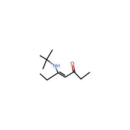 CCC(=O)C=C(CC)NC(C)(C)C